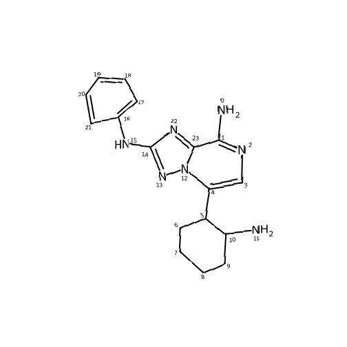 Nc1ncc(C2CCCCC2N)n2nc(Nc3ccccc3)nc12